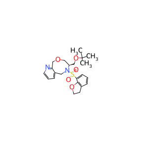 CC(C)(C)OC[C@@H]1COCc2ncccc2CN1S(=O)(=O)c1cccc2c1OCC2